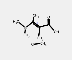 C/C(C(=O)O)=C(/C)N(C)C.CCl